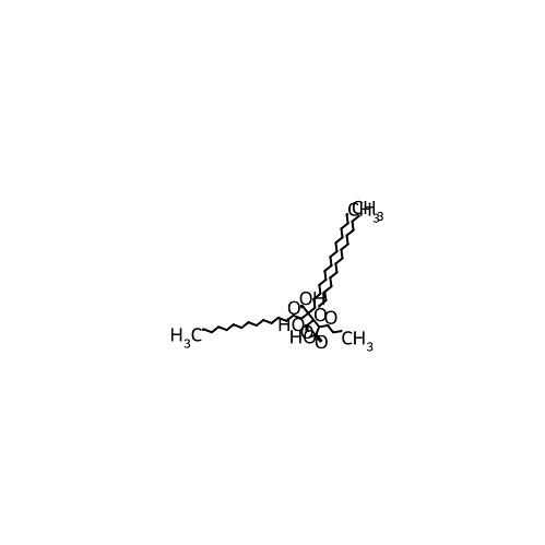 CCCCCCCCCCCCCCCOC(C(=O)O)(C(C(=O)O)C(=O)CCC)C(CCCCCCCCCCCCCCC)(CCCCCCCCCCCCCCC)C(=O)O